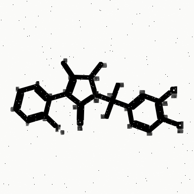 CC1=C(c2ccccc2F)C(=O)N(C(C)(C)c2ccc(Cl)c(Cl)c2)C1C